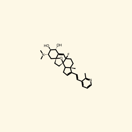 Cc1ncccc1/C=C/C1=CCC2[C@@]34CC[C@]5(C[C@H](N(C)C)[C@@H](O)[C@H](O)C5=CC3(F)CC[C@]12C)O4